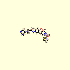 O=C(Nc1ccc(OC2CCN(C(=O)c3nccs3)CC2)cc1)C1CN(c2ccnnc2)C1